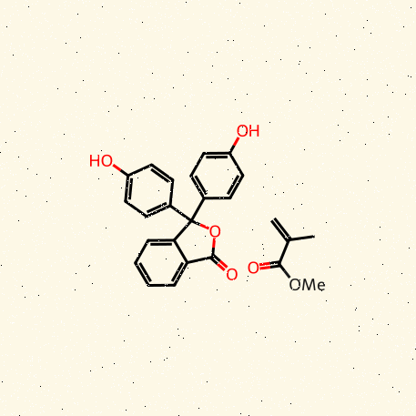 C=C(C)C(=O)OC.O=C1OC(c2ccc(O)cc2)(c2ccc(O)cc2)c2ccccc21